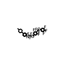 CC1CCC(c2ccc3nc(C(F)(F)Oc4cc(F)c(C(F)(F)Oc5cc(F)c(F)c(F)c5)c(F)c4)sc3c2)CC1